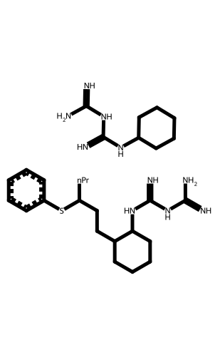 CCCC(CCC1CCCCC1NC(=N)NC(=N)N)Sc1ccccc1.N=C(N)NC(=N)NC1CCCCC1